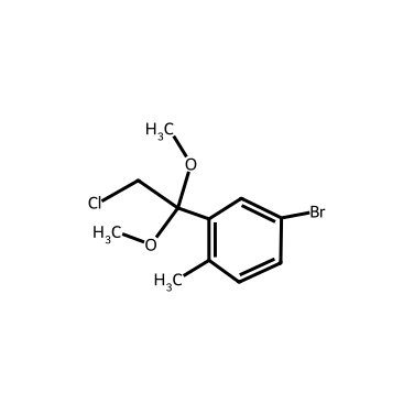 COC(CCl)(OC)c1cc(Br)ccc1C